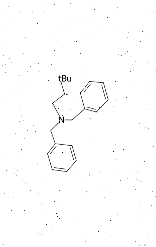 CC(C)(C)[CH]CN(Cc1ccccc1)Cc1ccccc1